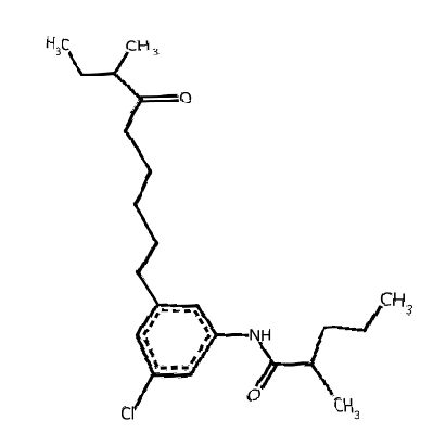 CCCC(C)C(=O)Nc1cc(Cl)cc(CCCCCC(=O)C(C)CC)c1